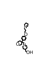 OCC1CCN(CC2(c3ccc(OCCCN4CCCC4)cc3)CCOCC2)CC1